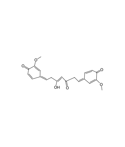 COC1=C/C(=C\C/C(O)=C/C(=O)C/C=C2\C=CC(=O)C(OC)=C2)C=CC1=O